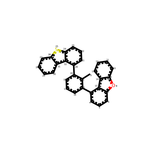 Cc1c(-c2cccc3oc4ccccc4c23)cccc1-c1cccc2sc3ccccc3c12